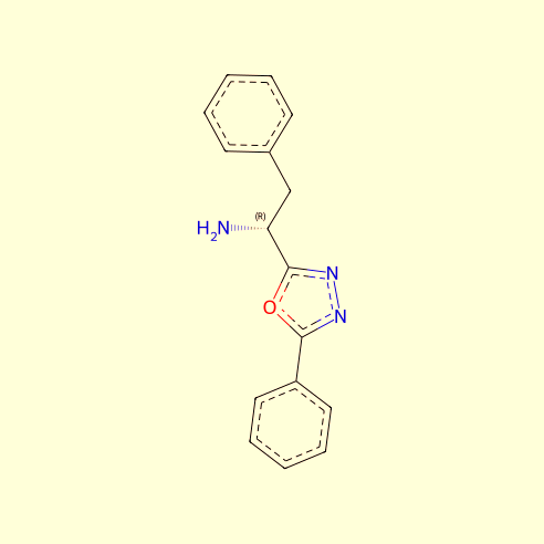 N[C@H](Cc1ccccc1)c1nnc(-c2ccccc2)o1